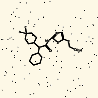 O=C(O)CSc1cnc(NC(=O)N(C2CCCCC2)C2CCC(F)(F)CC2)s1